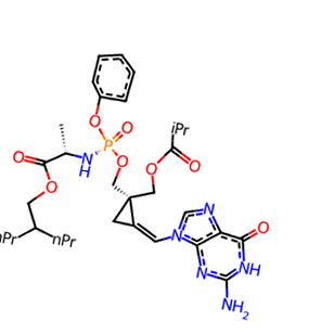 CCCC(CCC)COC(=O)[C@H](C)N[P@](=O)(OC[C@@]1(COC(=O)C(C)C)C/C1=C/n1cnc2c(=O)[nH]c(N)nc21)Oc1ccccc1